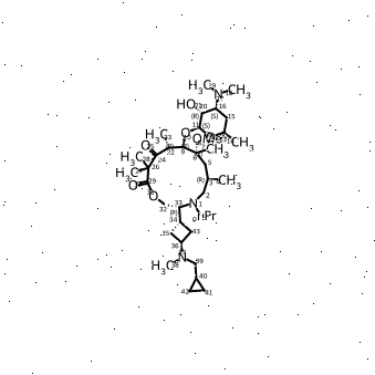 CCCN1C[C@H](C)C[C@@](C)(OC)[C@H](O[C@@H]2O[C@H](C)C[C@H](N(C)C)[C@H]2O)[C@@H](C)C(=O)C(C)(C)C(=O)OC[C@H]1[C@H]1C[C@H](N(C)CC2CC2)C1